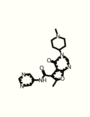 Cc1oc2ncn(C3CCN(C)CC3)c(=O)c2c1C(=O)Nc1cncnc1